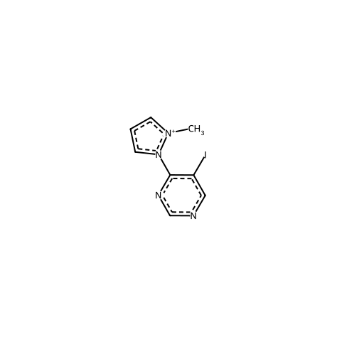 C[n+]1cccn1-c1ncncc1I